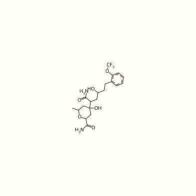 CC1CC(O)(C(CC(O)[CH]Cc2ccccc2OC(F)(F)F)C(N)=O)CC(C(N)=O)O1